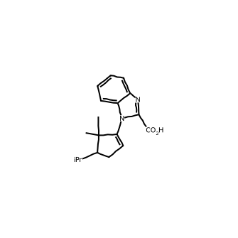 CC(C)C1CC=C(n2c(C(=O)O)nc3ccccc32)C1(C)C